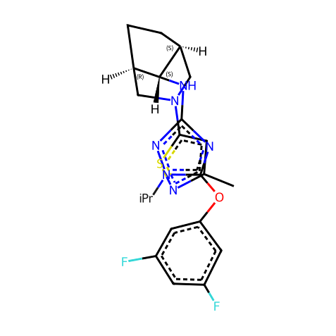 Cc1cc(N2C[C@H]3CC[C@@H](C2)[C@@H]3Nc2nc(Oc3cc(F)cc(F)c3)n(C(C)C)n2)sn1